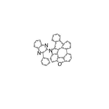 c1ccc(-c2nc3ccccc3nc2-n2c3ccc4oc5cccc6c5c4c3c3c4c-6cccc4c4ccccc4c32)cc1